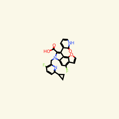 O=C(O)c1c(-c2ccc[nH]c2=O)c2c3occc3c(F)cc2n1Cc1nc(C2CC2)ccc1F